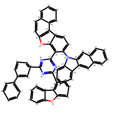 c1ccc(-c2cccc(-c3nc(-c4c(-n5c6ccccc6c6cc7ccccc7cc65)ccc5c4oc4ccc6ccccc6c45)nc(-c4cccc5oc6ccccc6c45)n3)c2)cc1